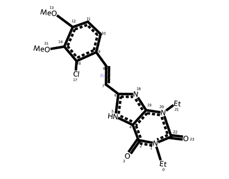 CCn1c(=O)c2[nH]c(/C=C/c3ccc(OC)c(OC)c3Cl)nc2n(CC)c1=O